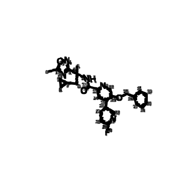 Cc1nc(C(C)(CC2CC2)NC(=O)c2cc(-c3ccc(F)nc3)c(OCc3ccccc3)cn2)no1